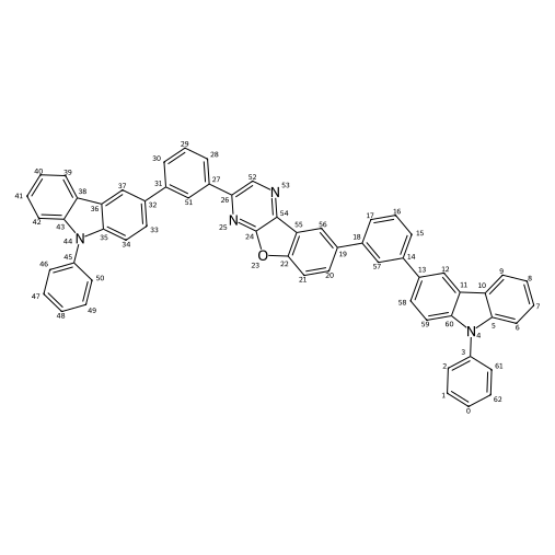 c1ccc(-n2c3ccccc3c3cc(-c4cccc(-c5ccc6oc7nc(-c8cccc(-c9ccc%10c(c9)c9ccccc9n%10-c9ccccc9)c8)cnc7c6c5)c4)ccc32)cc1